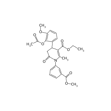 CCOC(=O)C1=C(C)N(c2cccc(C(=O)OC)c2)C(=O)CC1c1cccc(OC)c1OC(C)=O